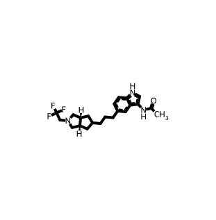 CC(=O)Nc1c[nH]c2ccc(CCCC3C[C@@H]4CN(CC(F)(F)F)C[C@@H]4C3)cc12